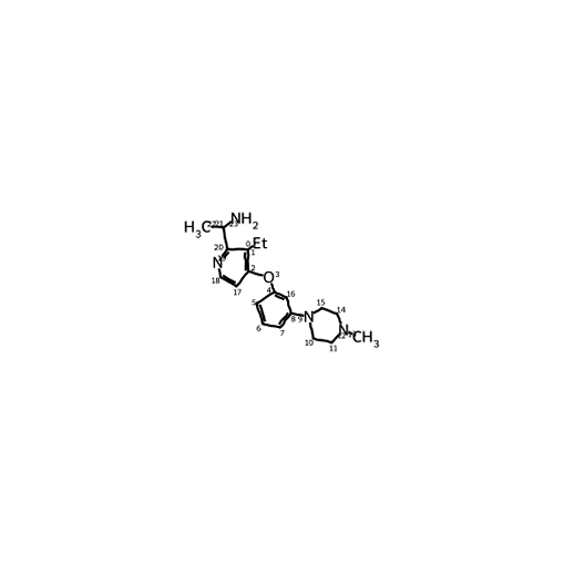 CCc1c(Oc2cccc(N3CCN(C)CC3)c2)ccnc1C(C)N